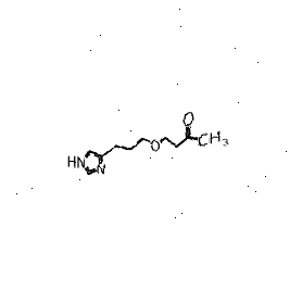 CC(=O)CCOCCCc1c[nH]cn1